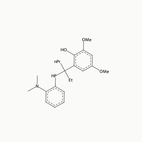 CCCC(CC)(Pc1ccccc1N(C)C)c1cc(OC)cc(OC)c1O